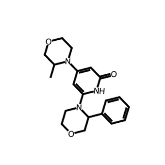 CC1COCCN1c1cc(N2CCOCC2c2ccccc2)[nH]c(=O)c1